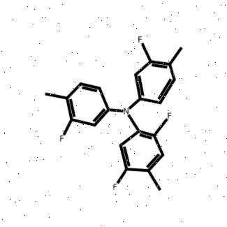 Cc1ccc(N(c2ccc(C)c(F)c2)c2cc(F)c(C)cc2F)cc1F